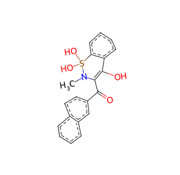 CN1C(C(=O)c2ccc3ccccc3c2)=C(O)c2ccccc2S1(O)O